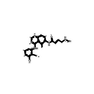 Cc1c(NC(=O)/C=C/CNC(C)C)ccc2ncnc(Nc3cccc(Cl)c3F)c12